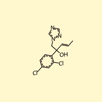 CC=CC(O)(Cn1cncn1)c1ccc(Cl)cc1Cl